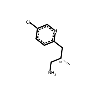 C[C@H](CN)Cc1ccc(Cl)cn1